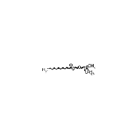 CCCCCCCCCCCC(=O)OCCOCC[N+](CC)(CC)CC